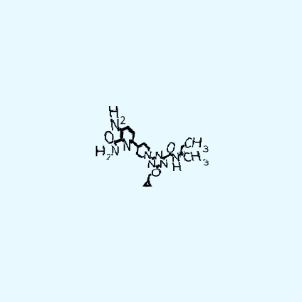 CC[C@@H](C)NC(=O)c1nc(OCC2CC2)nc(N2CCC(c3ccc(N)c(C(N)=O)n3)CC2)n1